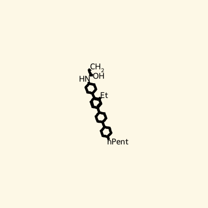 C=CC(O)NC1CCC(c2ccc(C3CCC(C4CCC(CCCCC)CC4)CC3)cc2CC)CC1